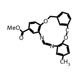 COC(=O)c1ccc2c(c1)N=C=Nc1cc(C)ccc1OCc1cccc(c1)CO2